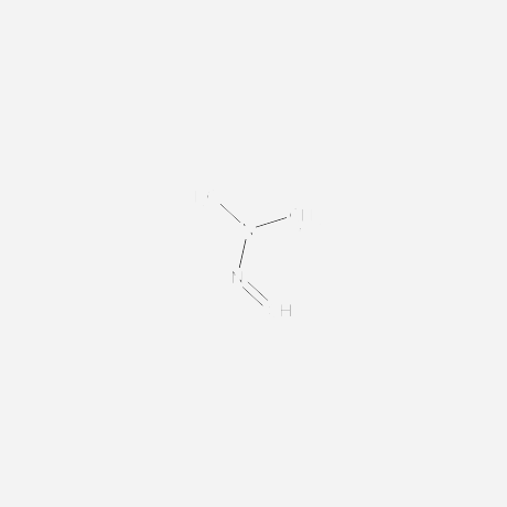 [CH]=NN(C)C